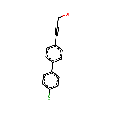 OCC#Cc1ccc(-c2ccc(Cl)cc2)cc1